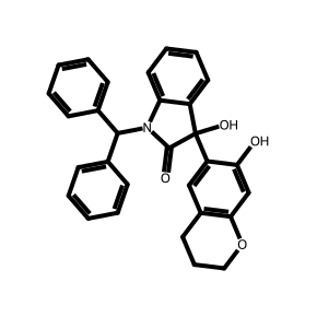 O=C1N(C(c2ccccc2)c2ccccc2)c2ccccc2C1(O)c1cc2c(cc1O)OCCC2